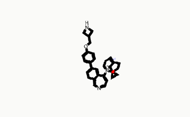 O=C(/C1=C\CCN(C2=CC=NC=C3CC=C(c4ccc(OCC5CNC5)cc4)C=C32)CCC1)C1CC1